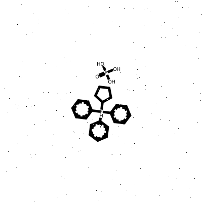 O=P(O)(O)O.c1ccc([PH](c2ccccc2)(c2ccccc2)C2CCCC2)cc1